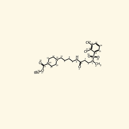 CN(CCC(=O)NCCCCN1CCN(C(=O)OC(C)(C)C)CC1)S(=O)(=O)c1cccc(Cl)c1Cl